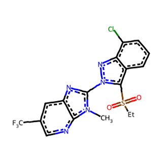 CCS(=O)(=O)c1c2cccc(Cl)c2nn1-c1nc2cc(C(F)(F)F)cnc2n1C